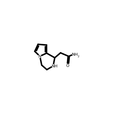 NC(=O)CC1NCCn2cccc21